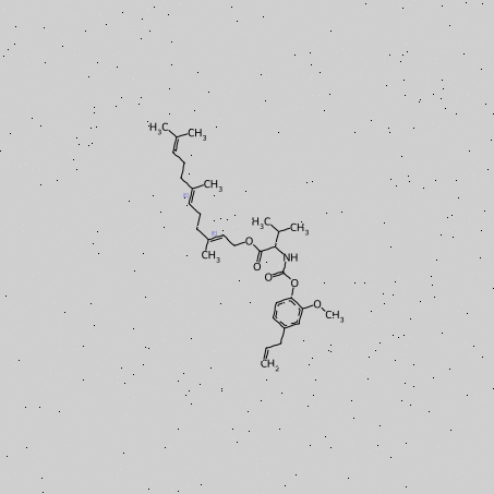 C=CCc1ccc(OC(=O)NC(C(=O)OC/C=C(\C)CC/C=C(\C)CCC=C(C)C)C(C)C)c(OC)c1